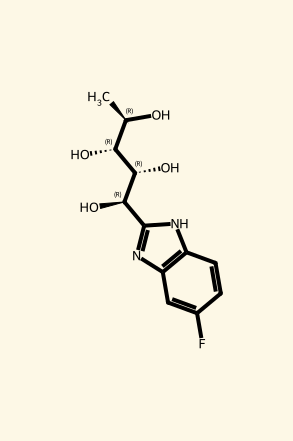 C[C@@H](O)[C@@H](O)[C@H](O)[C@H](O)c1nc2cc(F)ccc2[nH]1